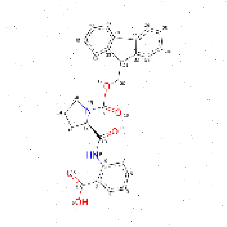 O=C(O)c1ccccc1NC(=O)[C@H]1CCCN1C(=O)OCC1c2ccccc2-c2ccccc21